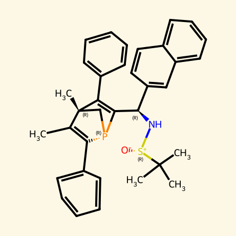 CC1=C(c2ccccc2)[P@]2C[C@@]1(C)C(c1ccccc1)=C2[C@H](N[S@@+]([O-])C(C)(C)C)c1ccc2ccccc2c1